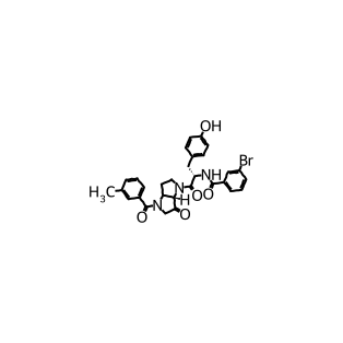 Cc1cccc(C(=O)N2CC(=O)[C@@H]3C2CCN3C(=O)[C@H](Cc2ccc(O)cc2)NC(=O)c2cccc(Br)c2)c1